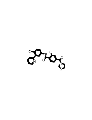 O=C(Nc1ccc(Cl)c(-c2ccccn2)c1)c1ccc(C(=O)N2CCSC2)cc1Cl